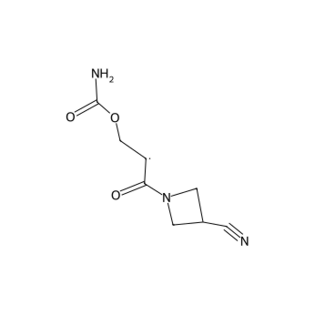 N#CC1CN(C(=O)[CH]COC(N)=O)C1